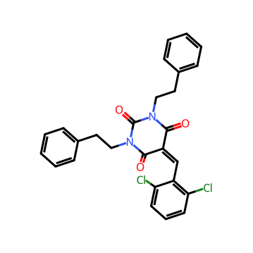 O=C1C(=Cc2c(Cl)cccc2Cl)C(=O)N(CCc2ccccc2)C(=O)N1CCc1ccccc1